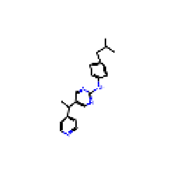 CC(C)Cc1ccc(Nc2ncc(C(C)c3ccncc3)cn2)cc1